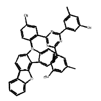 Cc1cc(-c2nc(-c3cc(C)cc(C(C)(C)C)c3)nc(-c3cc(C#N)ccc3-n3c4ccccc4c4c5oc6ccccc6c5ccc43)n2)cc(C(C)(C)C)c1